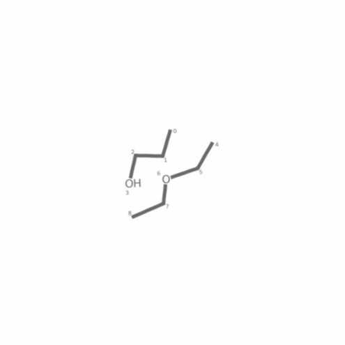 CCCO.CCOCC